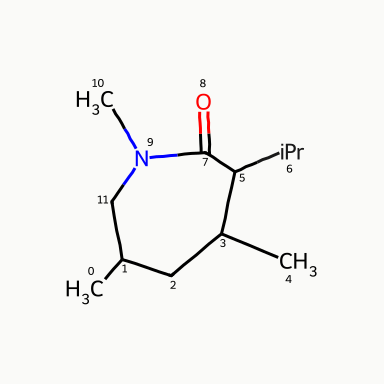 CC1CC(C)C(C(C)C)C(=O)N(C)C1